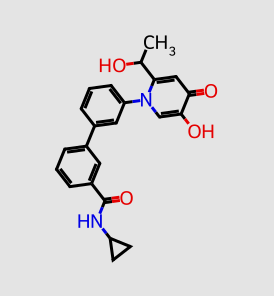 CC(O)c1cc(=O)c(O)cn1-c1cccc(-c2cccc(C(=O)NC3CC3)c2)c1